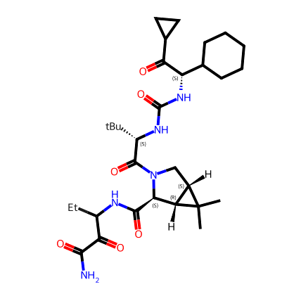 CCC(NC(=O)[C@@H]1[C@@H]2[C@H](CN1C(=O)[C@@H](NC(=O)N[C@H](C(=O)C1CC1)C1CCCCC1)C(C)(C)C)C2(C)C)C(=O)C(N)=O